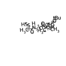 CC(SS)C(=O)NCCOC(=O)C(C)(C)CC(C)(C)OCOC(C)(C)C